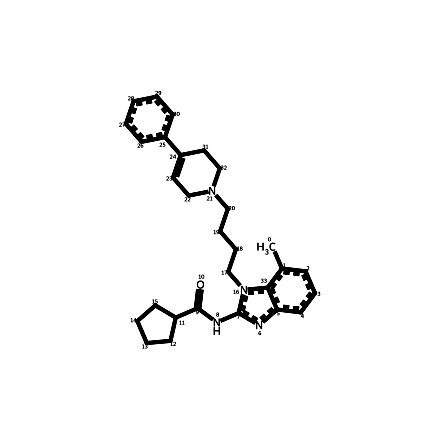 Cc1cccc2nc(NC(=O)C3CCCC3)n(CCCCN3CC=C(c4ccccc4)CC3)c12